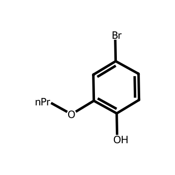 CCCOc1cc(Br)ccc1O